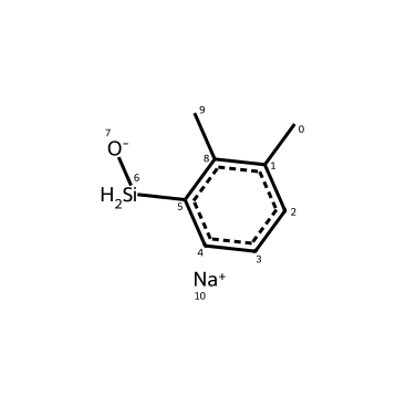 Cc1cccc([SiH2][O-])c1C.[Na+]